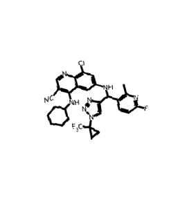 Cc1nc(F)ccc1C(Nc1cc(Cl)c2ncc(C#N)c(NC3CCCCC3)c2c1)c1cn(C2(C(F)(F)F)CC2)nn1